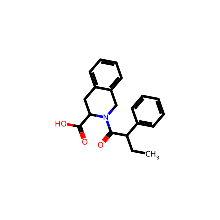 CCC(C(=O)N1Cc2ccccc2CC1C(=O)O)c1ccccc1